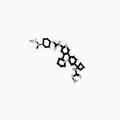 CN(C(=O)O)[C@H]1CC[C@H](CC(=O)Nc2cc(-c3ccccn3)c(-c3ccc(C4(NC(=O)OC(C)(C)C)CCC4)cc3)cn2)CC1